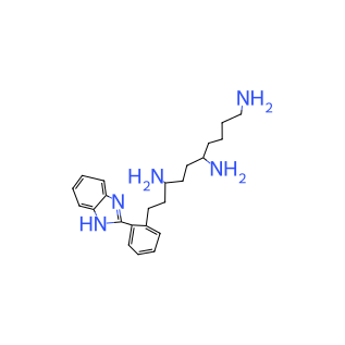 NCCCCC(N)CCC(N)CCc1ccccc1-c1nc2ccccc2[nH]1